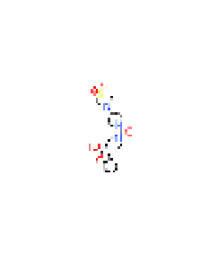 O=C(N1CCC(N2CCS(=O)(=O)CC2)CC1)N1CCC(C(=O)O)(c2ccccc2)CC1